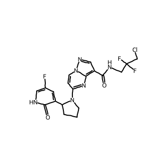 O=C(NCC(F)(F)CCl)c1cnn2ccc(N3CCCC3c3cc(F)c[nH]c3=O)nc12